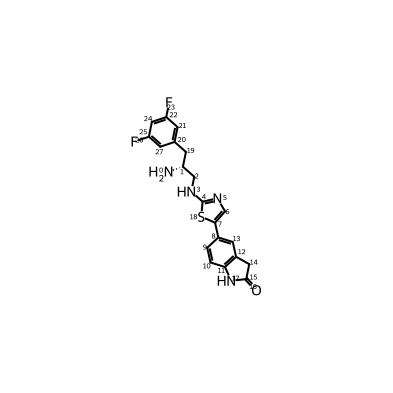 N[C@@H](CNc1ncc(-c2ccc3c(c2)CC(=O)N3)s1)Cc1cc(F)cc(F)c1